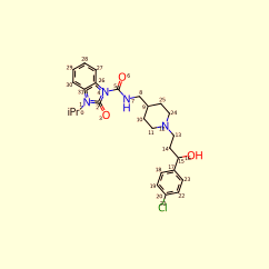 CC(C)n1c(=O)n(C(=O)NCC2CCN(CCC(O)c3ccc(Cl)cc3)CC2)c2ccccc21